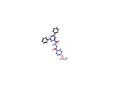 CCOC(=O)ON1CCN(C(=O)CNC(=O)c2cc(-c3ccccc3)nc(-c3ccccc3)n2)CC1